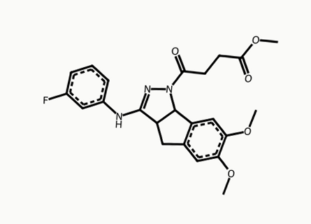 COC(=O)CCC(=O)N1N=C(Nc2cccc(F)c2)C2Cc3cc(OC)c(OC)cc3C21